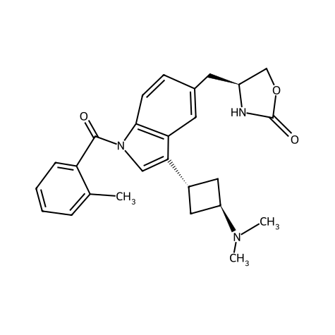 Cc1ccccc1C(=O)n1cc([C@H]2C[C@H](N(C)C)C2)c2cc(C[C@H]3COC(=O)N3)ccc21